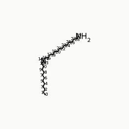 CCCCCCCCCCCC[N+](C)(C)CCCCCCCCCCCCCCN